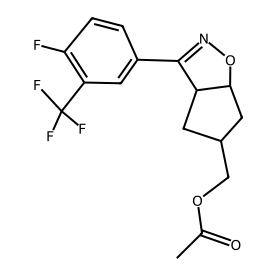 CC(=O)OCC1CC2ON=C(c3ccc(F)c(C(F)(F)F)c3)C2C1